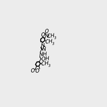 Cc1c([C@@H](O)CNCc2cn(-c3ccc4oc(=O)n(C)c4c3C)cn2)ccc2c1COC2=O